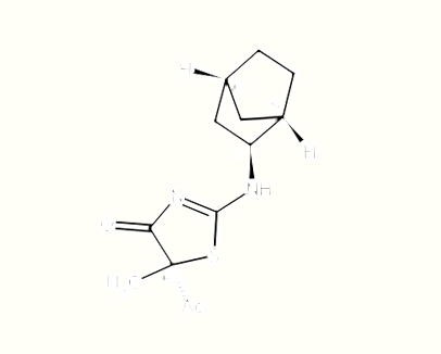 CC(=O)[C@@]1(C)SC(N[C@H]2C[C@@H]3CC[C@H]2C3)=NC1=O